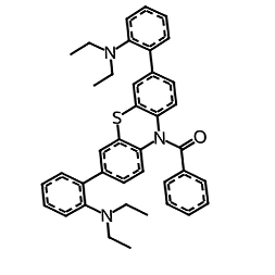 CCN(CC)c1ccccc1-c1ccc2c(c1)Sc1cc(-c3ccccc3N(CC)CC)ccc1N2C(=O)c1ccccc1